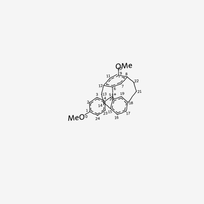 COc1ccc([I+]c2cc3c(OC)cc2CCc2ccc(cc2)CC3)cc1